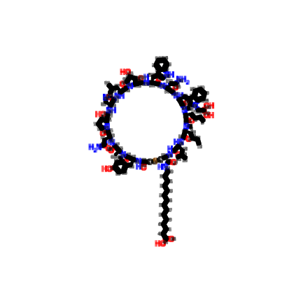 CCCC[C@H]1C(=O)N(C)[C@@H](CCCC)C(=O)N[C@@H](CC(C)C)C(=O)N[C@H](C(=O)NCCCCCCCCCCCCCCC(=O)O)CSCC(=O)N[C@@H](Cc2ccc(O)cc2)C(=O)N(C)[C@@H](C)C(=O)N[C@@H](CC(N)=O)C(=O)N2CCC[C@H]2C(O)N[C@@H](CN)C(=O)N[C@@H](CC(C)C)C(=O)N2C[C@H](O)C[C@@H]2C(=O)N[C@@H](Cc2c[nH]c3ccccc23)C(=O)N[C@@H](CCN)C(=O)N[C@@H](Cc2cn(CC(O)O)c3ccccc23)C(=O)N1C